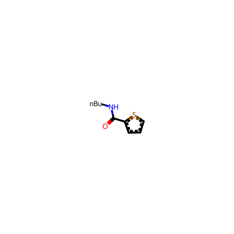 CCCCNC(=O)c1cccs1